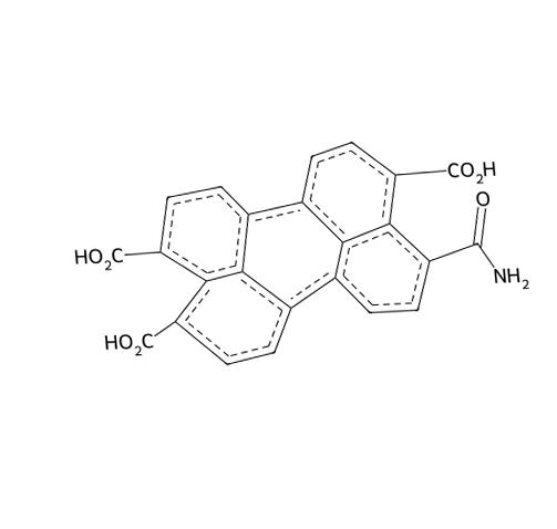 NC(=O)c1ccc2c3ccc(C(=O)O)c4c(C(=O)O)ccc(c5ccc(C(=O)O)c1c25)c43